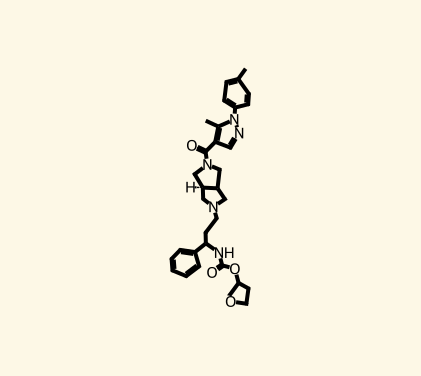 Cc1ccc(-n2ncc(C(=O)N3CC4CN(CCC(NC(=O)OC5CCOC5)c5ccccc5)C[C@H]4C3)c2C)cc1